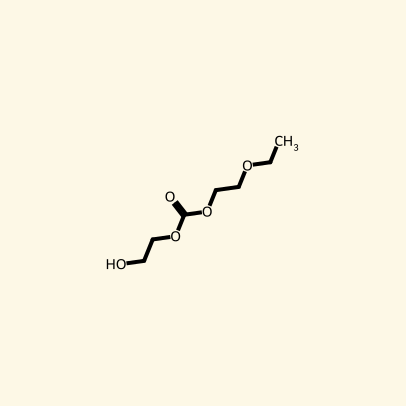 CCOCCOC(=O)OCCO